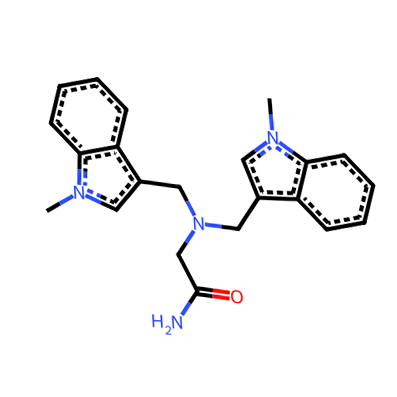 Cn1cc(CN(CC(N)=O)Cc2cn(C)c3ccccc23)c2ccccc21